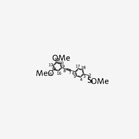 COSCc1ccc(C#Cc2cc(OC)cc(OC)c2)cc1